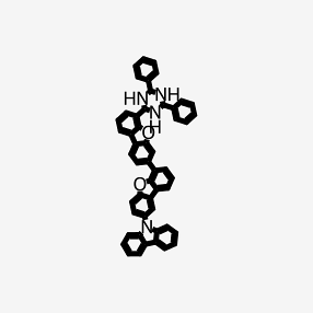 c1ccc(C2NC(c3ccccc3)NC(c3cccc4c3oc3cc(-c5cccc6c5oc5ccc(-n7c8ccccc8c8ccccc87)cc56)ccc34)N2)cc1